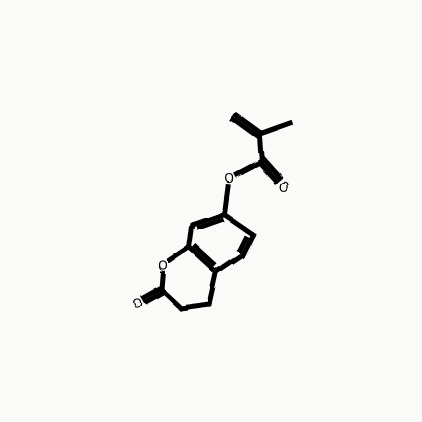 C=C(C)C(=O)Oc1ccc2c(c1)OC(=O)CC2